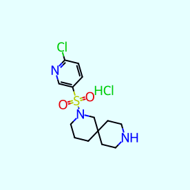 Cl.O=S(=O)(c1ccc(Cl)nc1)N1CCCC2(CCNCC2)C1